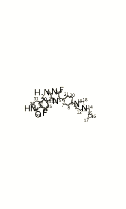 Nc1nc(F)c(-c2ccc(N3CCN(CC4CC4)CC3)cc2)nc1-c1cc(F)c2c(c1)CCNC2=O